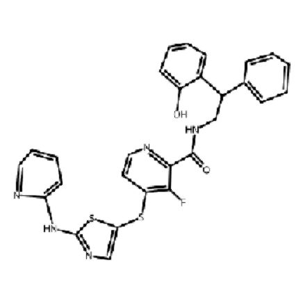 O=C(NCC(c1ccccc1)c1ccccc1O)c1nccc(Sc2cnc(Nc3ccccn3)s2)c1F